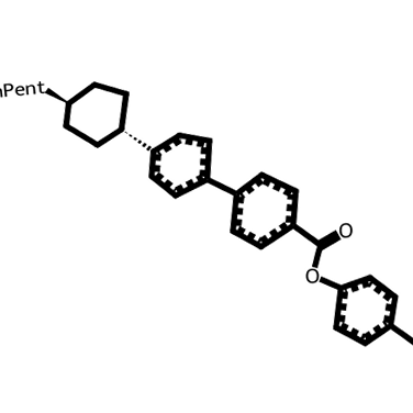 CCCCC[C@H]1CC[C@H](c2ccc(-c3ccc(C(=O)Oc4ccc(C#N)cc4)cc3)cc2)CC1